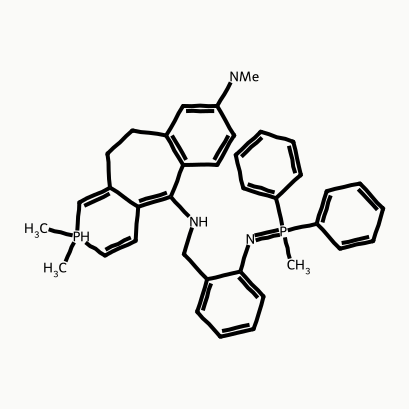 CNc1ccc2c(c1)CCC1=C[PH](C)(C)C=CC1=C2NCc1ccccc1N=P(C)(c1ccccc1)c1ccccc1